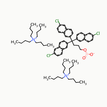 CCCC[N+](CCCC)(CCCC)CCCC.CCCC[N+](CCCC)(CCCC)CCCC.[O-]B([O-])OCCCC(c1ccc2cc(Cl)ccc2c1)(c1ccc2cc(Cl)ccc2c1)c1ccc2cc(Cl)ccc2c1